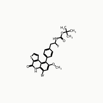 COc1cc(Br)c2[nH]c(=O)c3sccc3c2c1-c1ccc(CC(F)NC(=O)OC(C)(C)C)cc1